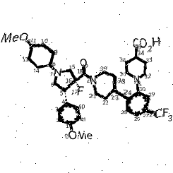 COc1ccc([C@@H]2CN(C3CCC(OC)CC3)C[C@@]2(F)C(=O)N2CCC(c3ccc(C(F)(F)F)cc3N3CCC(C(=O)O)CC3)CC2)cc1